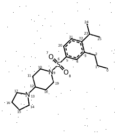 CCCc1cc(S(=O)(=O)N2CCC(N3CCCC3)CC2)ccc1C(C)C